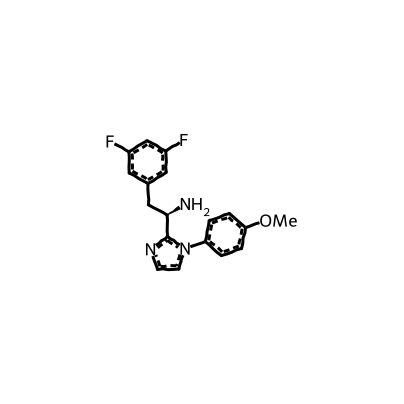 COc1ccc(-n2ccnc2[C@H](N)Cc2cc(F)cc(F)c2)cc1